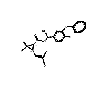 CC1(C)[C@H](C=C(Cl)Cl)[C@H]1C(=O)OC(C#N)c1ccc(F)c(Oc2ccccc2)c1